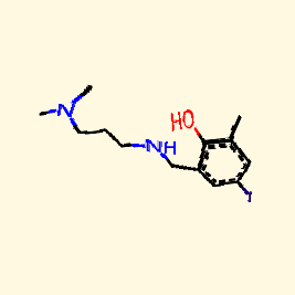 Cc1cc(I)cc(CNCCCN(C)C)c1O